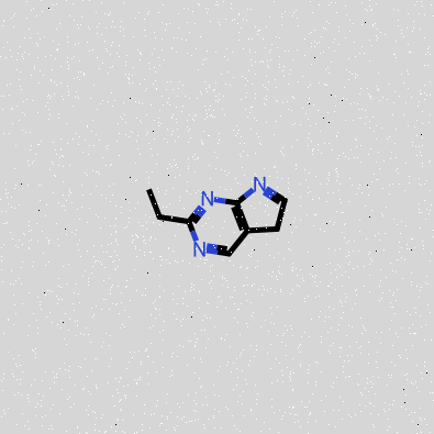 CCc1ncc2c(n1)N=CC2